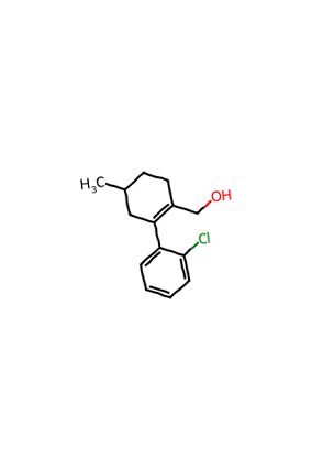 CC1CCC(CO)=C(c2ccccc2Cl)C1